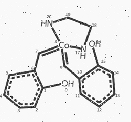 Oc1ccccc1[CH]=[Co]1(=[CH]c2ccccc2O)[NH]CC[NH]1